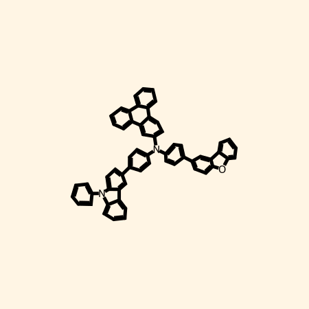 c1ccc(-n2c3ccccc3c3cc(-c4ccc(N(c5ccc(-c6ccc7oc8ccccc8c7c6)cc5)c5ccc6c7ccccc7c7ccccc7c6c5)cc4)ccc32)cc1